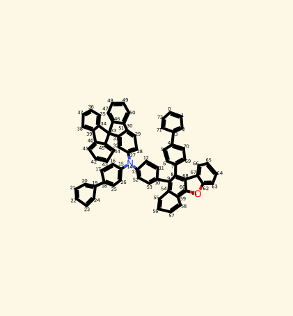 c1ccc(-c2ccc(-c3c(-c4ccc(N(c5ccc(-c6ccccc6)cc5)c5ccc6c(c5)C5(c7ccccc7-c7ccccc75)c5ccccc5-6)cc4)c4ccccc4c4oc5ccccc5c34)cc2)cc1